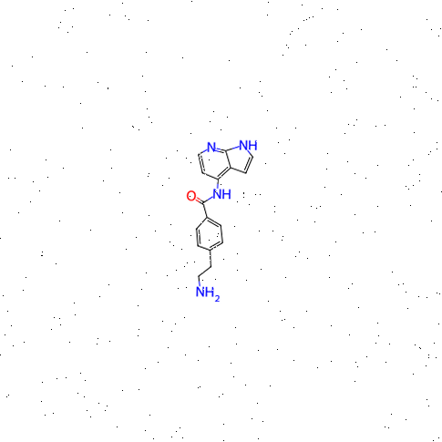 NCCc1ccc(C(=O)Nc2ccnc3[nH]ccc23)cc1